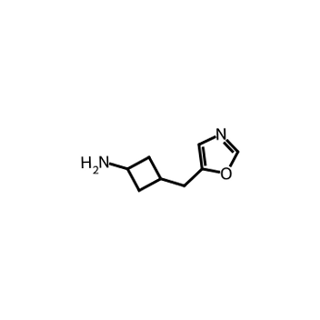 NC1CC(Cc2cnco2)C1